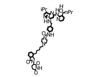 CCCC(O)c1cccnc1Nc1cc(NCc2ccc(NC(=O)N3CCN(CCCCCc4cccc5c4CN(C4CCC(=O)NC4=O)C5=O)CC3)cc2)n2ncc(C(C)C)c2n1